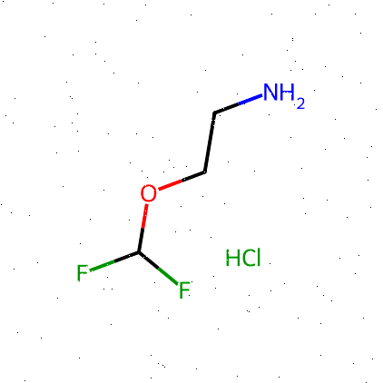 Cl.NCCOC(F)F